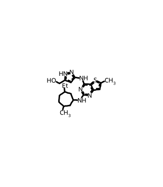 CCC1CCC(C)CC(Nc2nc(Nc3cc(CO)[nH]n3)c3sc(C)cc3n2)C1